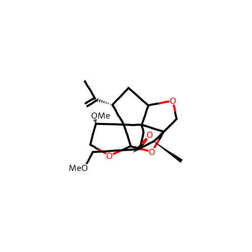 C=C(C)[C@@H]1CC2OCC34OC5OC[C@H](OC)C51C23CC(COC)OC[C@H]4C